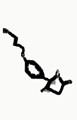 C[C@@H]1CC(=O)O[C@@H]1c1ccc(OCCCBr)cc1